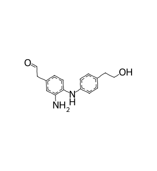 Nc1cc(CC=O)ccc1Nc1ccc(CCO)cc1